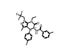 CCN1C(=O)[C@@H](NC(=O)c2cccc(C)c2)[C@@H](c2ccc(F)cc2)c2c(C)nn(CC(F)(F)F)c21